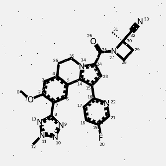 COc1cc2c(cc1-c1nnn(C)n1)-c1c(-c3ccc(F)cn3)cc(C(=O)N3CC[C@]3(C)C#N)n1CC2